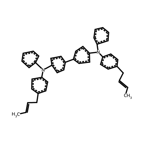 CC=CCc1ccc(N(c2ccccc2)c2ccc(-c3ccc(N(c4ccccc4)c4ccc(CC=CC)cc4)cc3)cc2)cc1